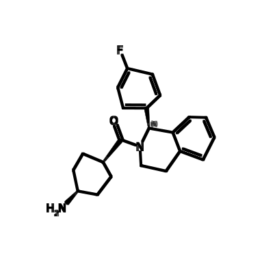 N[C@H]1CC[C@@H](C(=O)N2CCc3ccccc3[C@@H]2c2ccc(F)cc2)CC1